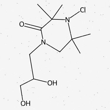 CC1(C)CN(CC(O)CO)C(=O)C(C)(C)N1Cl